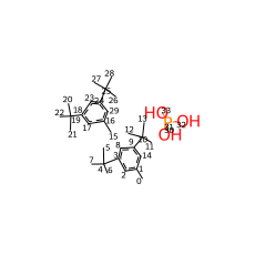 Cc1cc(C(C)(C)C)cc(C(C)(C)C)c1.Cc1cc(C(C)(C)C)cc(C(C)(C)C)c1.OP(O)O